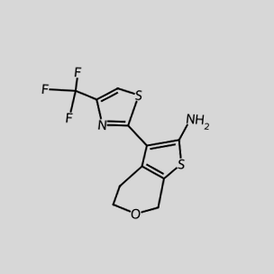 Nc1sc2c(c1-c1nc(C(F)(F)F)cs1)CCOC2